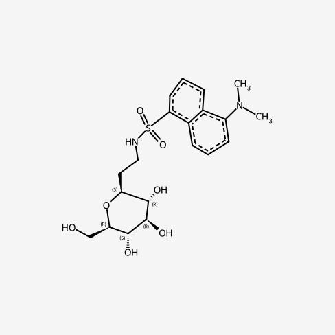 CN(C)c1cccc2c(S(=O)(=O)NCC[C@@H]3O[C@H](CO)[C@@H](O)[C@H](O)[C@H]3O)cccc12